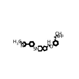 CNSc1cccc(ONC2CCC3(CCN(Sc4cccc(-c5cnn(C)c5)c4)CC3)C2)c1